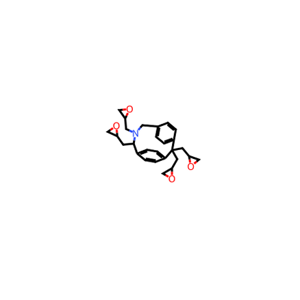 c1cc2ccc1CN(CC1CO1)C(CC1CO1)c1ccc(cc1)C2(CC1CO1)CC1CO1